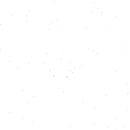 C1=CCC2C(=C1)C1(c3ccccc3)c3ccccc3C(c3ccccc3)(c3ccc(N(c4ccccc4)C4C=C5c6ccccc6SC5CC4)cc3)c3cccc2c31